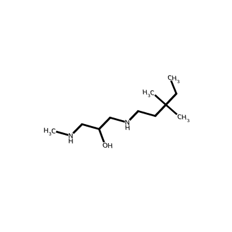 CCC(C)(C)CCNCC(O)CNC